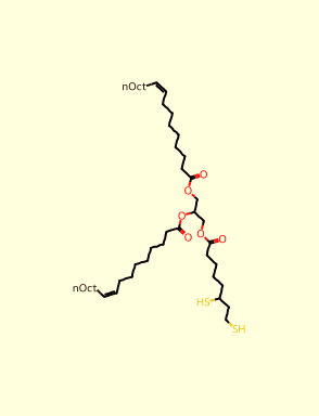 CCCCCCCC/C=C\CCCCCCCC(=O)OCC(COC(=O)CCCCC(S)CCS)OC(=O)CCCCCCC/C=C\CCCCCCCC